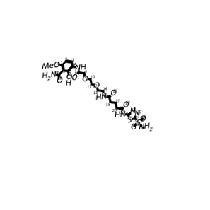 COc1ccc(NC(=O)COCCOCCNC(=O)CCCC(=O)Nc2nnc(S(N)(=O)=O)s2)c(O)c1C(N)=O